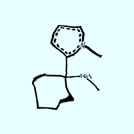 CNC1(c2cccn2C)CCCCC1